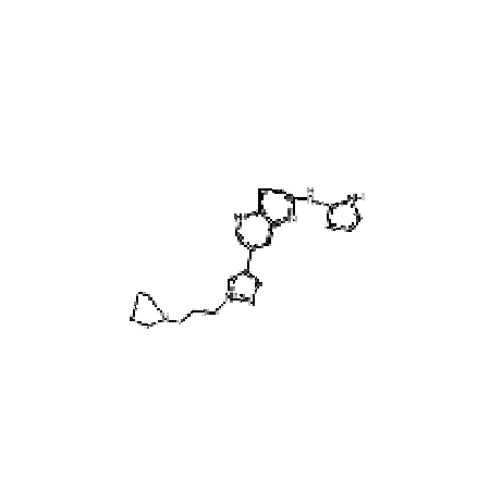 c1c[nH]c(Nc2ccc3ncc(-c4cnn(CCCN5CCCC5)c4)cc3n2)c1